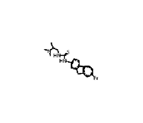 CC(CNC(=S)Nc1ccc2c(c1)Cc1cc(Br)ccc1-2)N(C)C